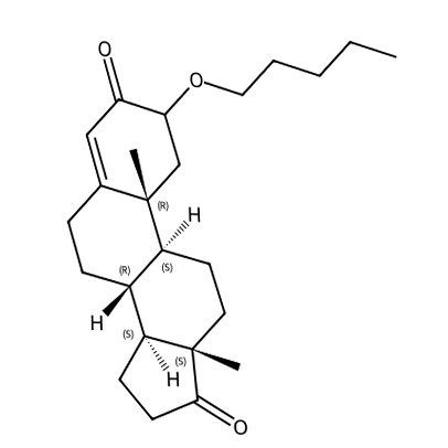 CCCCCOC1C[C@@]2(C)C(=CC1=O)CC[C@@H]1[C@@H]2CC[C@]2(C)C(=O)CC[C@@H]12